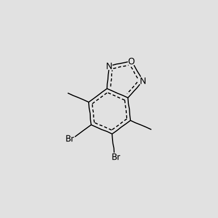 Cc1c(Br)c(Br)c(C)c2nonc12